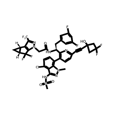 Cn1nc(NS(C)(=O)=O)c2c(Cl)ccc(-c3ccc(C#CC4(O)CC(F)(F)C4)nc3[C@H](Cc3cc(F)cc(F)c3)NC(=O)Cn3nc(C(F)(F)F)c4c3C(F)(F)[C@@H]3C[C@H]43)c21